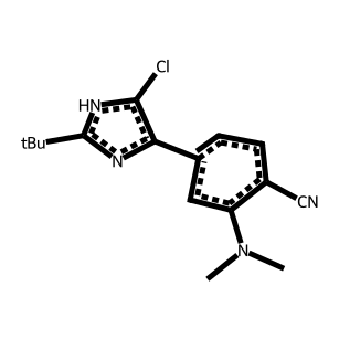 CN(C)c1cc(-c2nc(C(C)(C)C)[nH]c2Cl)ccc1C#N